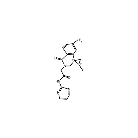 O=C(CN1C[C@]2(C[C@H]2F)c2cc(C(F)(F)F)ccc2C1=O)Nc1ncccn1